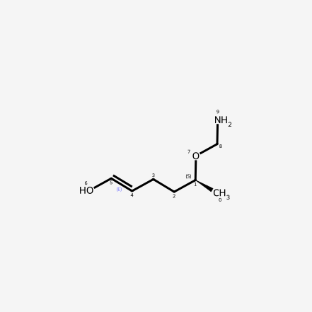 C[C@@H](CC/C=C/O)OCN